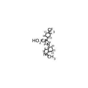 Cc1nccc2c(N3C[C@H](C(=O)O)[C@@H](c4ccc(C(F)(F)F)cc4)C3)cccc12